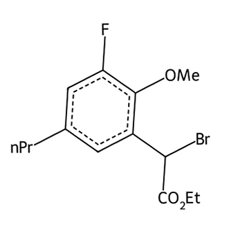 CCCc1cc(F)c(OC)c(C(Br)C(=O)OCC)c1